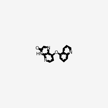 O=c1cnc2c(Oc3cccc4ncccc34)ccnc2[nH]1